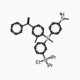 C=C(c1ccccc1)c1ccc([Si](C)(c2ccc([SiH](C)C)cc2)c2cccc([Si](CC)(C(C)C)C(C)C)c2)c(C)c1